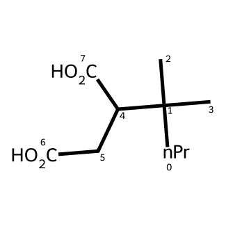 CCCC(C)(C)C(CC(=O)O)C(=O)O